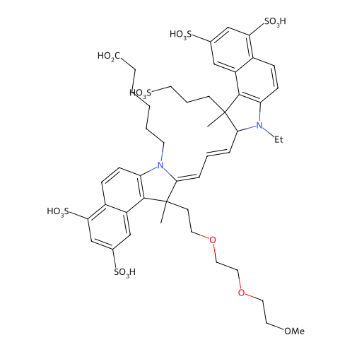 CCN1c2ccc3c(S(=O)(=O)O)cc(S(=O)(=O)O)cc3c2C(C)(CCCS(=O)(=O)O)C1C=CC=C1N(CCCCCC(=O)O)c2ccc3c(S(=O)(=O)O)cc(S(=O)(=O)O)cc3c2C1(C)CCOCCOCCOC